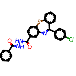 O=C(NNC(=O)c1ccc2c(c1)N=C(c1ccc(Cl)cc1)c1ccccc1S2)c1ccccc1